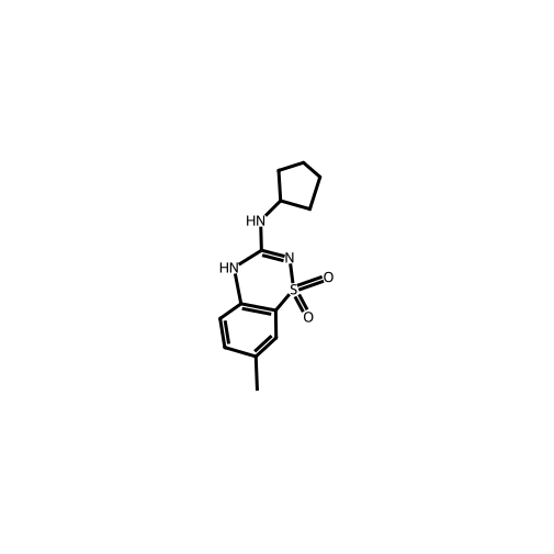 Cc1ccc2c(c1)S(=O)(=O)N=C(NC1CCCC1)N2